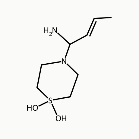 CC=CC(N)N1CCS(O)(O)CC1